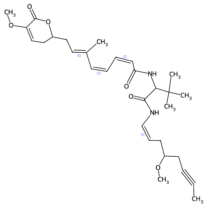 CC#CCC(C/C=C\NC(=O)C(NC(=O)\C=C/C=C\C(C)=C\CC1CC=C(OC)C(=O)O1)C(C)(C)C)OC